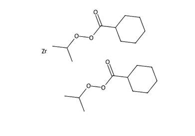 CC(C)OOC(=O)C1CCCCC1.CC(C)OOC(=O)C1CCCCC1.[Zr]